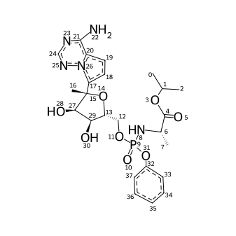 CC(C)OC(=O)[C@H](C)NP(=O)(OC[C@H]1O[C@@](C)(c2ccc3c(N)ncnn23)[C@H](O)[C@@H]1O)Oc1ccccc1